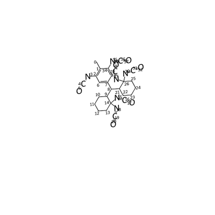 Cc1c(N=C=O)cc(C(C2CCCCC2(N=C=O)N=C=O)C2CCCCC2(N=C=O)N=C=O)cc1N=C=O